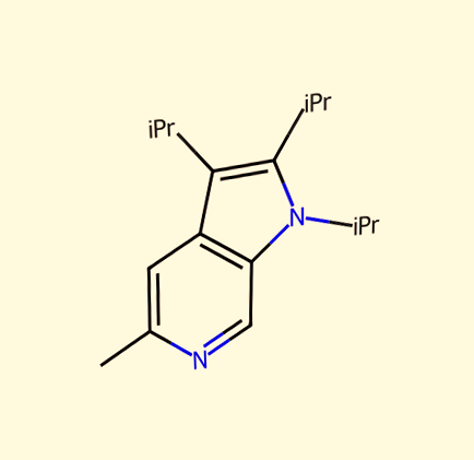 Cc1cc2c(C(C)C)c(C(C)C)n(C(C)C)c2cn1